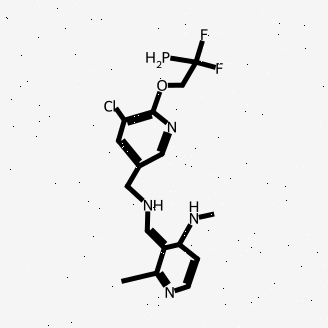 CNC1C=CN=C(C)/C1=C/NCc1cnc(OCC(F)(F)P)c(Cl)c1